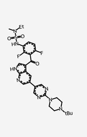 CCN(C)S(=O)(=O)Nc1ccc(F)c(C(=O)c2c[nH]c3ncc(-c4cnc(N5CCN(C(C)(C)C)CC5)nc4)cc23)c1F